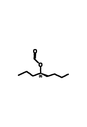 CCCC[C@@H](CCC)OC=O